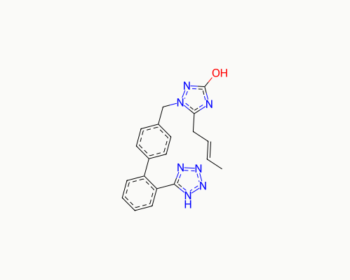 CC=CCc1nc(O)nn1Cc1ccc(-c2ccccc2-c2nnn[nH]2)cc1